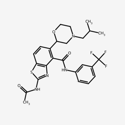 CC(=O)Nc1nc2c(C(=O)Nc3[c]ccc(C(F)(F)F)c3)c(C3CN(CC(C)C)CCO3)ccc2s1